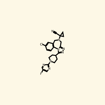 N#CC1(N2Cc3cc(Cl)ccc3-n3c(nnc3C3CCN(c4ncc(F)cn4)CC3)C2)CC1